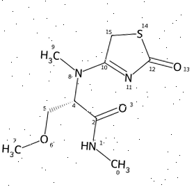 CNC(=O)[C@H](COC)N(C)C1=NC(=O)SC1